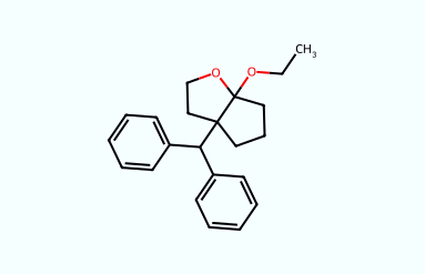 CCOC12CCCC1(C(c1ccccc1)c1ccccc1)CCO2